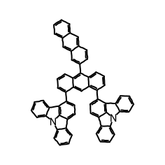 c1ccc2cc3cc(-c4c5cccc(-c6ccc7c8ccccc8n8c9ccccc9c6c78)c5cc5c(-c6ccc7c8ccccc8n8c9ccccc9c6c78)cccc45)ccc3cc2c1